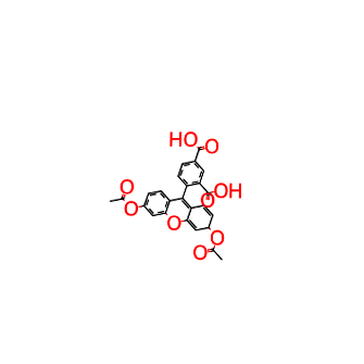 CC(=O)Oc1ccc2c(c1)OC1=CC(OC(C)=O)C=CC1=C2c1ccc(C(=O)O)cc1C(=O)O